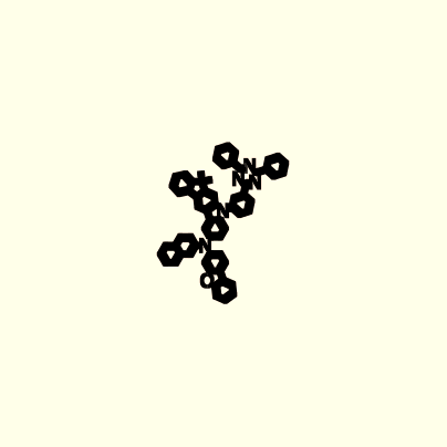 CC1(C)c2ccccc2-c2cc3c4cc(N(c5ccc6ccccc6c5)c5ccc6c(c5)oc5ccccc56)ccc4n(-c4cccc(-c5nc(-c6ccccc6)nc(-c6ccccc6)n5)c4)c3cc21